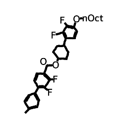 CCCCCCCCOc1ccc(C2CCC(OC(=O)c3ccc(-c4ccc(C)cc4)c(F)c3F)CC2)c(F)c1F